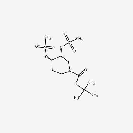 CC(C)(C)OC(=O)N1CC[C@@H](OS(C)(=O)=O)[C@@H](OS(C)(=O)=O)C1